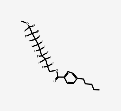 CCCCCc1ccc(C(=O)OCC(F)(F)C(F)(F)C(F)(F)C(F)(F)C(F)(F)C(F)(F)C(F)(F)C(F)(F)OC)cc1